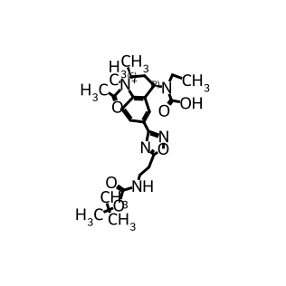 CCN(C(=O)O)[C@@H]1C[C@H](C)[N+](C)(C(C)=O)c2ccc(-c3noc(CCNC(=O)OC(C)(C)C)n3)cc21